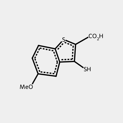 COc1ccc2sc(C(=O)O)c(S)c2c1